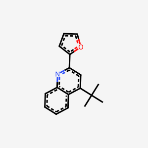 CC(C)(C)c1cc(-c2ccco2)nc2ccccc12